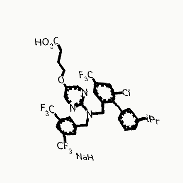 CC(C)c1cccc(-c2c(Cl)cc(C(F)(F)F)cc2CN(Cc2cc(C(F)(F)F)cc(C(F)(F)F)c2)c2ncc(OCCCC(=O)O)cn2)c1.[NaH]